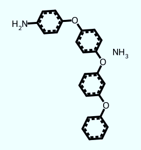 N.Nc1ccc(Oc2ccc(Oc3cccc(Oc4ccccc4)c3)cc2)cc1